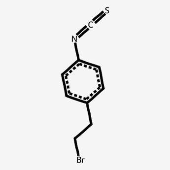 S=C=Nc1ccc(CCBr)cc1